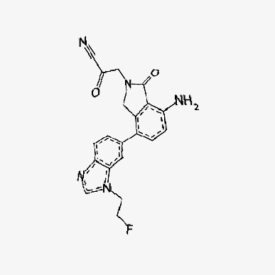 N#CC(=O)CN1Cc2c(-c3ccc4ncn(CCF)c4c3)ccc(N)c2C1=O